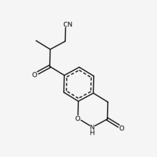 CC(CC#N)C(=O)c1ccc2c(c1)ONC(=O)C2